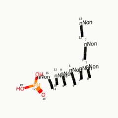 CCCCCCCCCC.CCCCCCCCCC.CCCCCCCCCC.CCCCCCCCCC.CCCCCCCCCC.CCCCCCCCCC.CCCCCCCCCC.CCCCCCCCCC.O=[PH](O)O